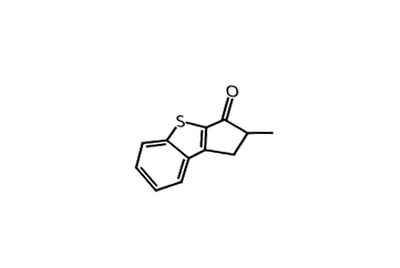 CC1Cc2c(sc3ccccc23)C1=O